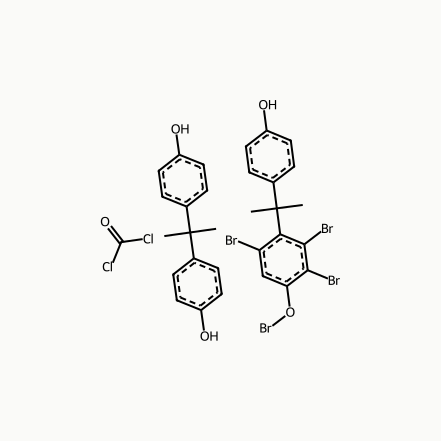 CC(C)(c1ccc(O)cc1)c1c(Br)cc(OBr)c(Br)c1Br.CC(C)(c1ccc(O)cc1)c1ccc(O)cc1.O=C(Cl)Cl